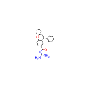 NC(N)=NC(=O)c1ccc2c(c1)C(c1ccccc1)=CC1(CCCC1)O2